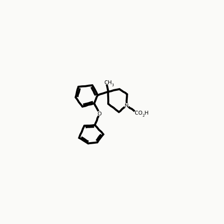 CC1(c2ccccc2Oc2ccccc2)CCN(C(=O)O)CC1